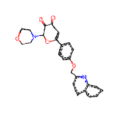 O=C1C=C(c2ccc(OCc3ccc4ccccc4n3)cc2)OC(N2CCOCC2)C1=O